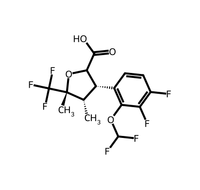 C[C@H]1[C@@H](c2ccc(F)c(F)c2OC(F)F)C(C(=O)O)O[C@@]1(C)C(F)(F)F